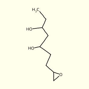 CCC(O)CC(O)CCC1CO1